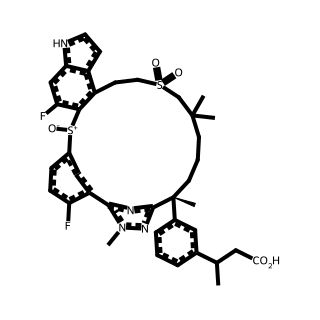 CC(CC(=O)O)c1cccc([C@@]2(C)CCCC(C)(C)CS(=O)(=O)CCc3c(c(F)cc4[nH]ccc34)[S+]([O-])c3ccc(F)c(c3)-c3nc2nn3C)c1